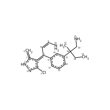 C=c1[nH]nc(Cl)/c1=C(/C=C\N)c1cccc(C(C)(CC)CN)c1